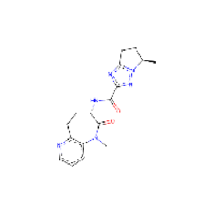 C[C@@H]1CCc2nc(C(=O)N[C@H]3CCc4ncccc4N(C)C3=O)nn21